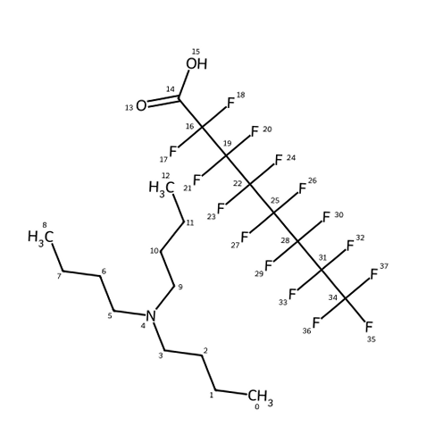 CCCCN(CCCC)CCCC.O=C(O)C(F)(F)C(F)(F)C(F)(F)C(F)(F)C(F)(F)C(F)(F)C(F)(F)F